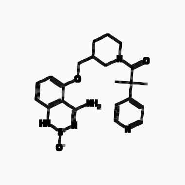 CC(C)(C(=O)N1CCCC(COc2cccc3c2C(N)=N[S+]([O-])N3)C1)c1ccncc1